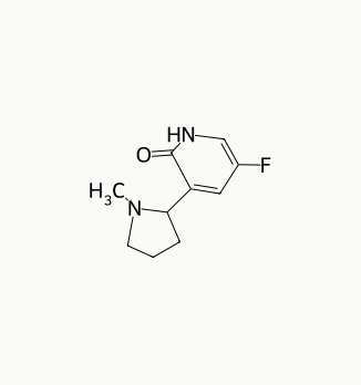 CN1CCCC1c1cc(F)c[nH]c1=O